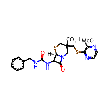 COc1nccnc1SCC1(C(=O)O)CS[C@@H]2C(NC(=O)NCc3ccccc3)C(=O)N2C1